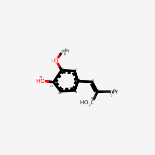 CCCOc1cc(C=C(CCC)C(=O)O)ccc1O